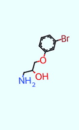 NC[C@H](O)COc1cccc(Br)c1